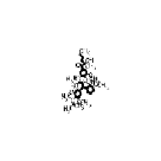 CCCCC(C)(O)C(=O)c1cc(OC)c(OC(CO)C(c2cc(OC)c(OC(C)C)c(OC)c2)c2cccc(OC)c2O)c(OC)c1